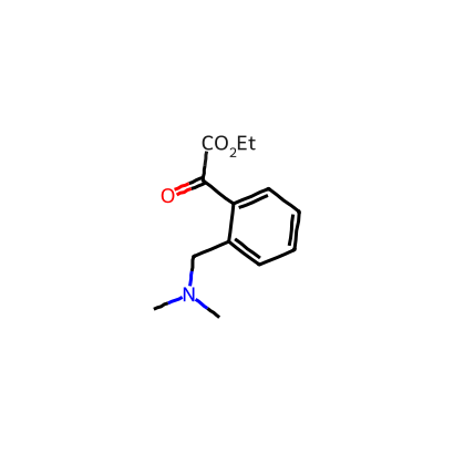 CCOC(=O)C(=O)c1ccccc1CN(C)C